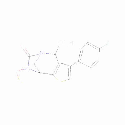 O=C(O)C1c2c(-c3ccc(F)cc3)csc2C2CN1C(=O)N2OS